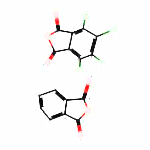 O=C1OC(=O)c2c(Cl)c(Cl)c(Cl)c(Cl)c21.O=C1OC(=O)c2ccccc21